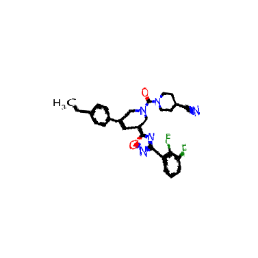 CCc1ccc(C2CC(c3nc(-c4cccc(F)c4F)no3)CN(C(=O)N3CCC(C#N)CC3)C2)cc1